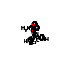 C[C@H]1CNCCCN1c1nc(-c2onc3c2CCC[C@@]32CCCc3sc(N)c(C#N)c32)cc(N2CCNC3(CC3)C2)n1